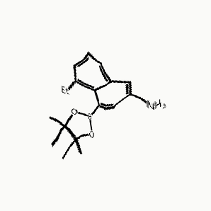 CCc1cccc2cc(N)cc(B3OC(C)(C)C(C)(C)O3)c12